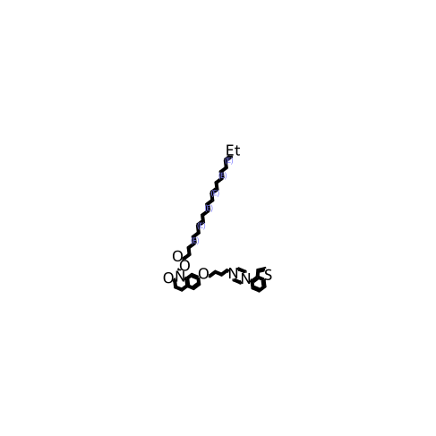 CC/C=C/C/C=C/C/C=C/C/C=C/C/C=C/C/C=C/CCC(=O)OCN1C(=O)CCc2ccc(OCCCCN3CCN(c4cccc5sccc45)CC3)cc21